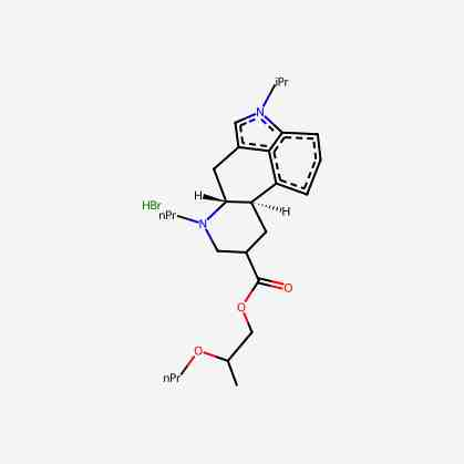 Br.CCCOC(C)COC(=O)C1C[C@@H]2c3cccc4c3c(cn4C(C)C)C[C@H]2N(CCC)C1